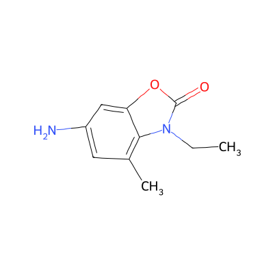 CCn1c(=O)oc2cc(N)cc(C)c21